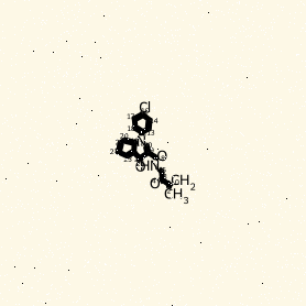 C=C(C)C(=O)CNC(=O)c1cn(-c2ccc(Cl)cc2)c2ccccc2c1=O